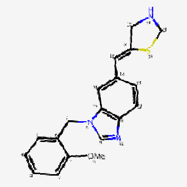 COc1ccccc1Cn1cnc2ccc(C=C3CNCS3)cc21